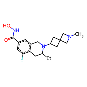 CCC1Cc2c(F)cc(C(=O)NO)cc2CN1C1CC2(C1)CN(C)C2